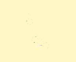 CCSP(=O)(Oc1ccc([N+](=O)[O-])cc1)Oc1cc(C(F)(F)F)c2[nH]c3ccccc3cc-2c1=O